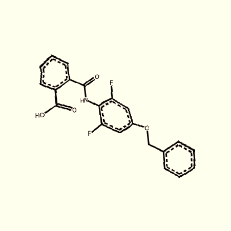 O=C(O)c1ccccc1C(=O)Nc1c(F)cc(OCc2ccccc2)cc1F